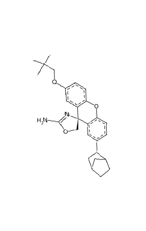 CC(C)(C)COc1ccc2c(c1)[C@]1(COC(N)=N1)c1cc(C3CC4CCC3C4)ccc1O2